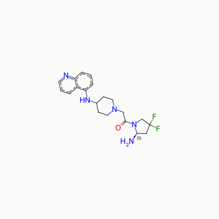 N[C@@H]1CC(F)(F)CN1C(=O)CN1CCC(Nc2cccc3ncccc23)CC1